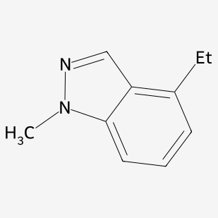 CCc1cccc2c1cnn2C